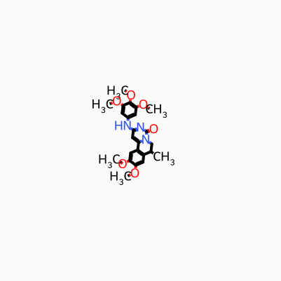 COc1cc2c(cc1OC)C(C)Cn1c-2cc(Nc2cc(OC)c(OC)c(OC)c2)nc1=O